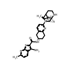 C=C[C@]1(C)C2CCN[C@H]1CN(c1ccc3c(n1)CC[C@H](NC(=O)c1sc4nc(C)ccc4c1N)C3)C2